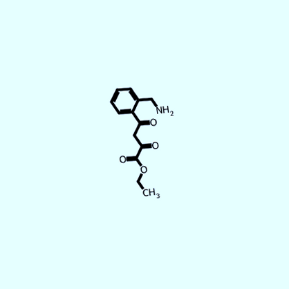 CCOC(=O)C(=O)CC(=O)c1ccccc1CN